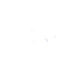 CS(=O)(=O)OC12CCCC(CC1)N2C(=O)O